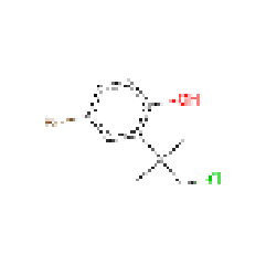 CC(C)(CCl)c1cc(Br)ccc1O